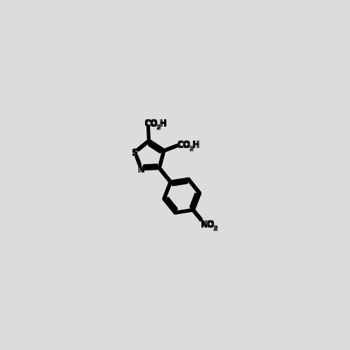 O=C(O)c1snc(-c2ccc([N+](=O)[O-])cc2)c1C(=O)O